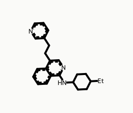 CCC1CCC(Nc2ncc(CCc3cccnc3)c3ccccc23)CC1